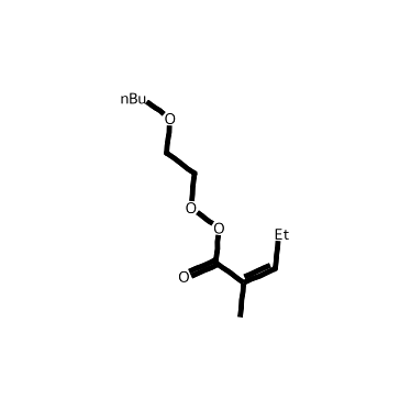 CCC=C(C)C(=O)OOCCOCCCC